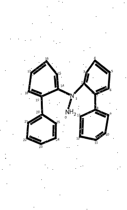 NN(c1ccccc1-c1ccccc1)c1ccccc1-c1ccccc1